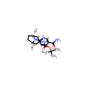 CC(C)(C)OC(=O)N[C@H]1C[C@H]2CC[C@@H](C1)N2c1ccc(C(N)=O)cn1